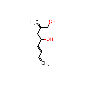 C=CC=CC(O)CC(=C)CO